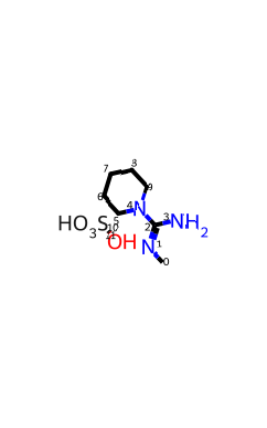 C/N=C(\N)N1CCCCC1.O=S(=O)(O)O